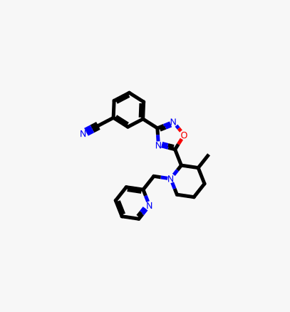 CC1CCCN(Cc2ccccn2)C1c1nc(-c2cccc(C#N)c2)no1